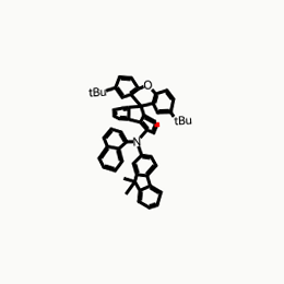 CC(C)(C)c1ccc2c(c1)C1(c3cc(C(C)(C)C)ccc3O2)c2ccccc2-c2c(N(c3ccc4c(c3)C(C)(C)c3ccccc3-4)c3cccc4ccccc34)cccc21